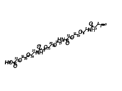 C#CCCC(=O)NCCOCCOCC(=O)NCCOCCOCC(=O)NCCOCCOCC(=O)O